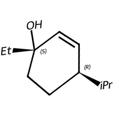 CC[C@@]1(O)C=C[C@@H](C(C)C)CC1